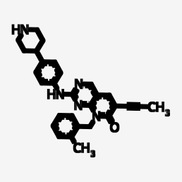 CC#Cc1cc2cnc(Nc3ccc(C4CCNCC4)cc3)nc2n(Cc2ccccc2C)c1=O